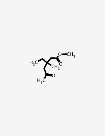 CCC(C)(CC(C)=O)CC(=O)OC